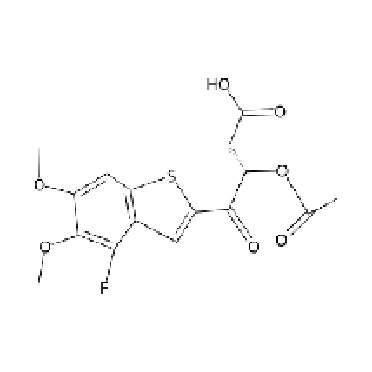 COc1cc2sc(C(=O)[C@H](CC(=O)O)OC(C)=O)cc2c(F)c1OC